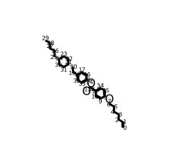 C=CCCCCCOc1ccc(C(=O)Oc2ccc(CC[C@H]3CC[C@H](CCCCC)CC3)cc2)cc1